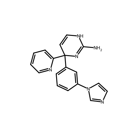 NC1=NC(c2cccc(-n3ccnc3)c2)(c2ccccn2)C=CN1